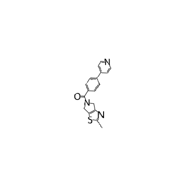 Cc1nc2c(s1)CN(C(=O)c1ccc(-c3ccncc3)cc1)C2